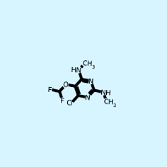 CNc1nc(Cl)c(OC(F)F)c(NC)n1